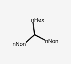 CCCCCCCCCC(CCCCCC)CCCCCCCCC